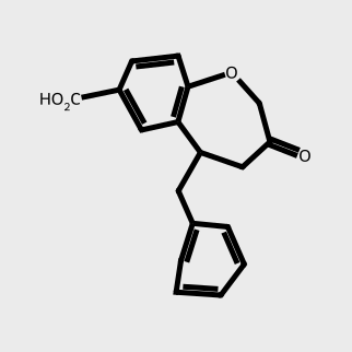 O=C1COc2ccc(C(=O)O)cc2C(Cc2ccccc2)C1